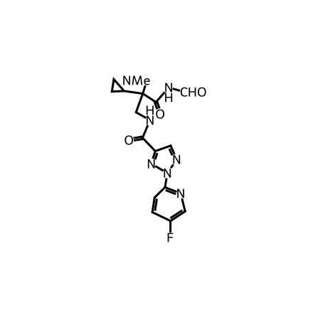 CNC(CNC(=O)c1cnn(-c2ccc(F)cn2)n1)(C(=O)NC=O)C1CC1